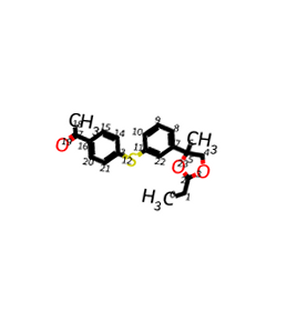 CCC1OCC(C)(c2cccc(Sc3ccc(C(C)=O)cc3)c2)O1